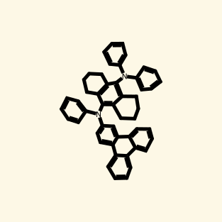 c1ccc(N(c2ccccc2)c2c3c(c(N(c4ccccc4)c4ccc5c6ccccc6c6ccccc6c5c4)c4c2CCCC4)CCCC3)cc1